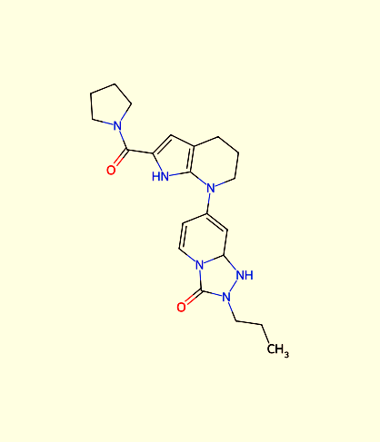 CCCN1NC2C=C(N3CCCc4cc(C(=O)N5CCCC5)[nH]c43)C=CN2C1=O